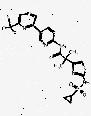 CC(C)(C(=O)Nc1ccc(-c2cncc(C(F)(F)F)n2)cn1)c1csc(NS(=O)(=O)C2CC2)n1